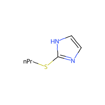 [CH2]CCSc1ncc[nH]1